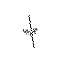 CCCCCCCCCCN(CCCCCCCCCC)C(O)=S.NC(O)=S.[Fe]